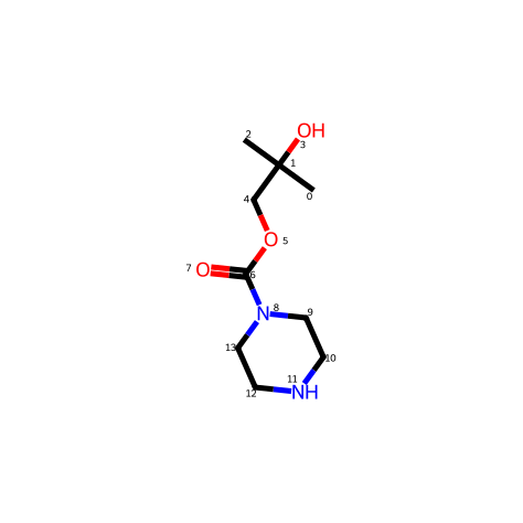 CC(C)(O)COC(=O)N1CCNCC1